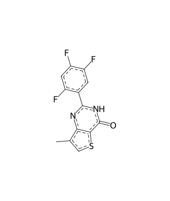 Cc1csc2c(=O)[nH]c(-c3cc(F)c(F)cc3F)nc12